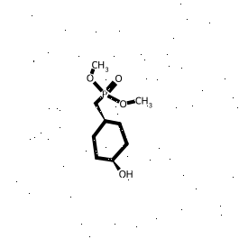 COP(=O)(C[C@H]1CC[C@@H](O)CC1)OC